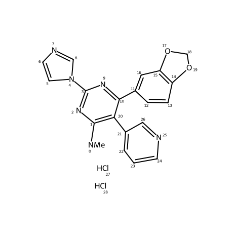 CNc1nc(-n2ccnc2)nc(-c2ccc3c(c2)OCO3)c1-c1cccnc1.Cl.Cl